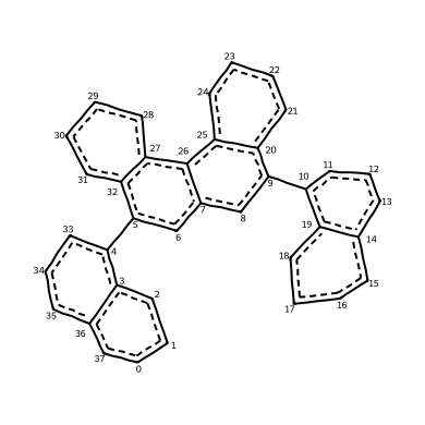 c1ccc2c(-c3cc4cc(-c5cccc6ccccc56)c5ccccc5c4c4ccccc34)cccc2c1